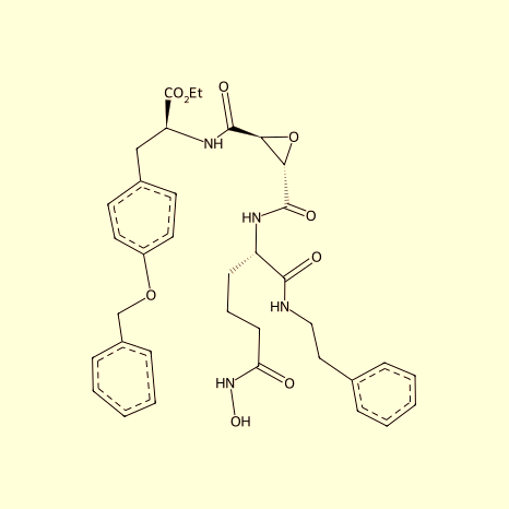 CCOC(=O)[C@H](Cc1ccc(OCc2ccccc2)cc1)NC(=O)[C@H]1O[C@@H]1C(=O)N[C@@H](CCCC(=O)NO)C(=O)NCCc1ccccc1